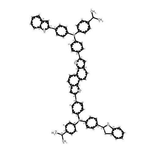 CC(C)c1ccc(N(c2ccc(-c3cc4ccccc4o3)cc2)c2ccc(-c3cc4ccc5c(ccc6cc(-c7ccc(N(c8ccc(C(C)C)cc8)c8ccc(C9Cc%10ccccc%10O9)cc8)cc7)oc65)c4o3)cc2)cc1